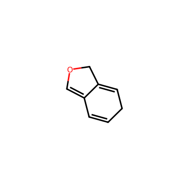 C1=CC2=COCC2=CC1